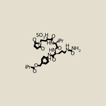 CC(C)C(=O)OCc1ccc(NC(=O)[C@H](CCCNC(N)=O)NC(=O)[C@@H](NC(=O)[C@@H](CCN2C(=O)C=CC2=O)S(=O)(=O)O)C(C)C)cc1